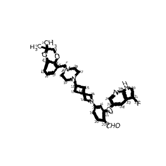 CC1(C)COc2c(CN3CCN(C4CC5(C4)CN(c4ccc(C=O)c(Oc6cnc7[nH]cc(F)c7c6)c4)C5)CC3)cccc2O1